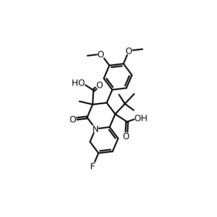 COc1ccc(C2C(C)(C(=O)O)C(=O)N3CC(F)=CC=C3C2(C(=O)O)C(C)(C)C)cc1OC